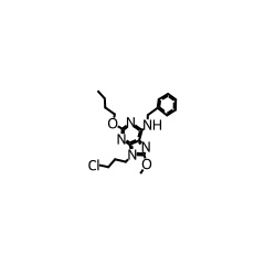 CCCCOc1nc(NCc2ccccc2)c2nc(OC)n(CCCCl)c2n1